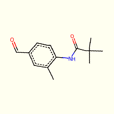 Cc1cc(C=O)ccc1NC(=O)C(C)(C)C